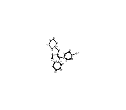 Fc1ccc(C2=C(CN3CCCCC3)COc3ccccc32)cc1